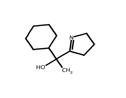 CC(O)(C1=NCCC1)C1CCCCC1